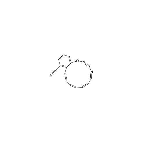 N#Cc1cccc2onnncccccccc12